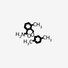 Cc1ccc(C)c(OCc2c(C)cccc2C(N)=O)c1